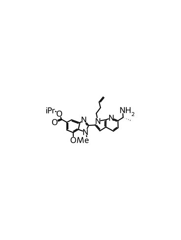 C=CCCn1c(-c2nc3cc(C(=O)OC(C)C)cc(OC)c3n2C)cc2ccc([C@@H](C)N)nc21